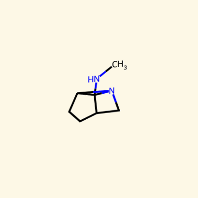 CNC12C3CCC1N2C3